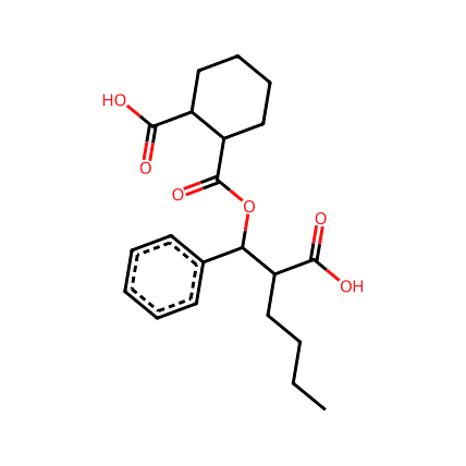 CCCCC(C(=O)O)C(OC(=O)C1CCCCC1C(=O)O)c1ccccc1